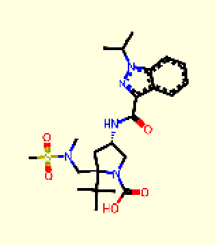 CC(C)n1nc(C(=O)N[C@@H]2CN(C(=O)O)[C@](CN(C)S(C)(=O)=O)(C(C)(C)C)C2)c2ccccc21